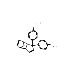 N#COc1ccc(C2(c3ccc(OC#N)cc3)C=CC3C4C=CC(C4)C32)cc1